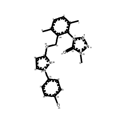 Cc1ccc(C)c(-n2nnn(C)c2=O)c1COc1ccn(-c2ccc(Cl)cc2)n1